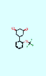 O=C1CC(=O)CC(c2ccccc2OC(F)(F)F)C1